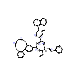 C=C/C=C(\C=C/Cc1cccc2ccccc12)C1=N/C(c2ccc3c(c2)C/C=C\C=C/Cc2ccccc2-3)=N\C(C=C)[C@@H](/C=C/c2cccnc2)\C=C\1